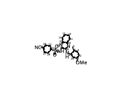 COc1ccc(C)c(Nc2nc3ccccc3nc2NS(=O)(=O)c2ccc(C#N)cc2)c1